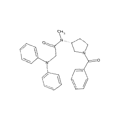 CN(C(=O)CN(c1ccccc1)c1ccccc1)[C@@H]1CCN(C(=O)c2ccccc2)C1